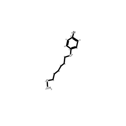 COCCCCCCOc1ccc(Br)cc1